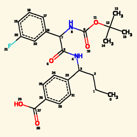 CCCC(NC(=O)C(NC(=O)OC(C)(C)C)c1cccc(F)c1)c1ccc(C(=O)O)cc1